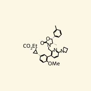 CCOC(=O)[C@@H]1C[C@H]1c1ccc(OC)c(-c2ccc(N3CCC3)nc2CN2C(=O)O[C@H](c3cccc(C)c3)[C@@H]2C)c1